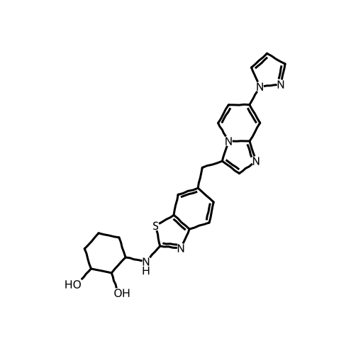 OC1CCCC(Nc2nc3ccc(Cc4cnc5cc(-n6cccn6)ccn45)cc3s2)C1O